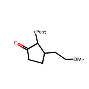 CCCCCC1C(=O)CCC1CCOC